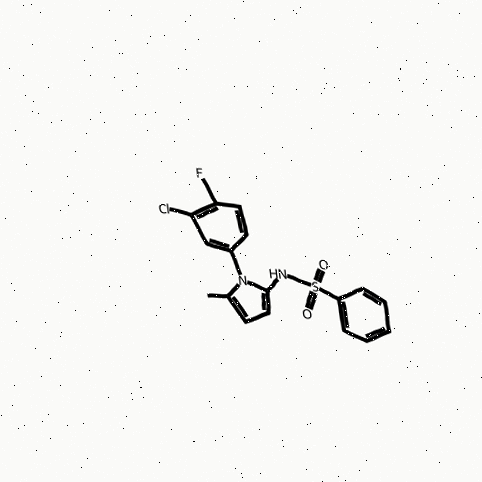 Cc1ccc(NS(=O)(=O)c2ccccc2)n1-c1ccc(F)c(Cl)c1